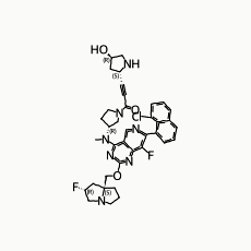 CN(c1nc(OC[C@@]23CCCN2C[C@H](F)C3)nc2c(F)c(-c3cccc4cccc(Cl)c34)ncc12)[C@@H]1CCN(C(=O)C#C[C@@H]2C[C@@H](O)CN2)C1